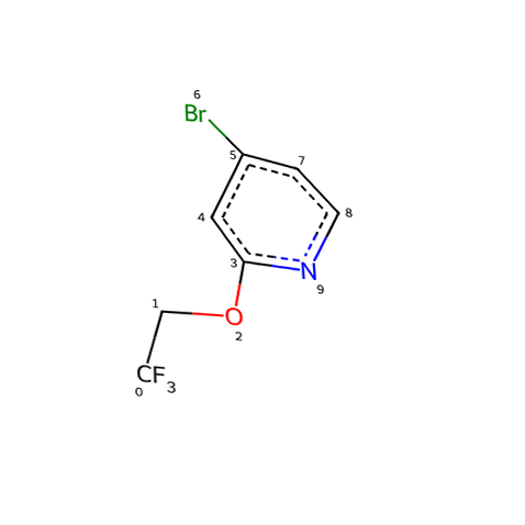 FC(F)(F)COc1cc(Br)ccn1